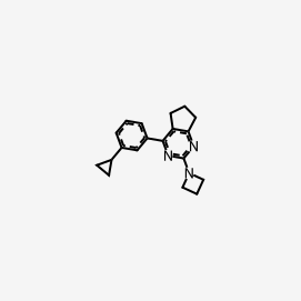 c1cc(-c2nc(N3CCC3)nc3c2CCC3)cc(C2CC2)c1